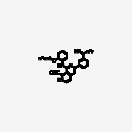 CCCCCOc1ccccc1Nc1nc(-c2cccc(C(=N)CCC)c2)cc2c1C(C=O)NC=C2